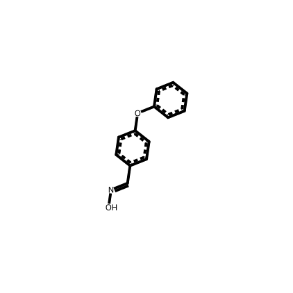 ON=Cc1ccc(Oc2ccccc2)cc1